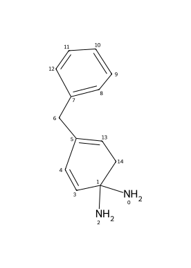 NC1(N)C=CC(Cc2ccccc2)=CC1